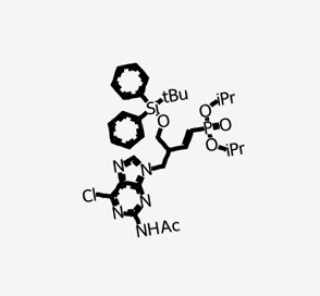 CC(=O)Nc1nc(Cl)c2ncn(CC(C=CP(=O)(OC(C)C)OC(C)C)CO[Si](c3ccccc3)(c3ccccc3)C(C)(C)C)c2n1